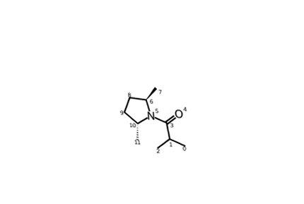 CC(C)C(=O)N1[C@H](C)CC[C@H]1C